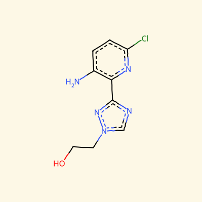 Nc1ccc(Cl)nc1-c1ncn(CCO)n1